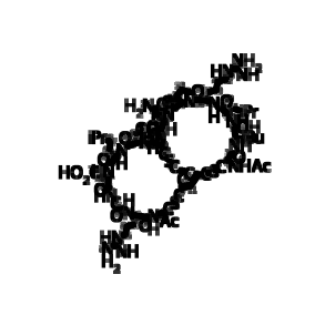 CC[C@H](C)[C@@H]1NC(=O)[C@@H](NC(C)=O)CSCc2cc3cc(c2)CSC[C@H](NC(=O)[C@H](CC(N)=O)NC(=O)[C@@H]2CCCN2C(=O)[C@H](CCCCNC(=N)N)NC(=O)[C@H](CC(C)C)NC1O)C(=O)N[C@@H](CC(=O)O)C(=O)N[C@@H](CCC(C)C)C(=O)N[C@@H](CC(=O)O)C(=O)NCC(=O)N[C@@H](CCCNC(=N)N)C(=O)N[C@H](C(C)=O)CSC3